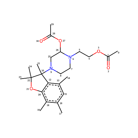 CC(=O)OCCN1CCN(C2(C)c3c(C)cc(C)c(C)c3OC2(C)C)CC1OC(C)=O